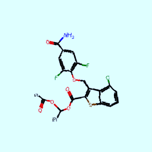 CCC(=O)OC(OC(=O)c1sc2cccc(Cl)c2c1COc1c(F)cc(C(N)=O)cc1F)C(C)C